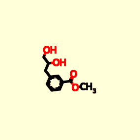 COC(=O)c1cccc(CC(O)CO)c1